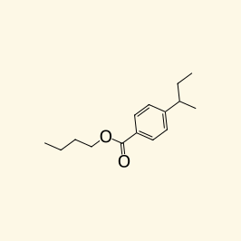 CCCCOC(=O)c1ccc(C(C)CC)cc1